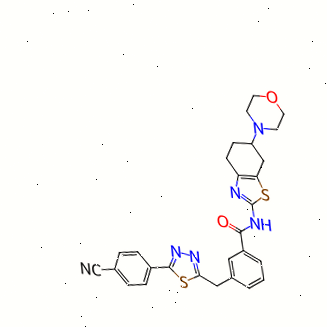 N#Cc1ccc(-c2nnc(Cc3cccc(C(=O)Nc4nc5c(s4)CC(N4CCOCC4)CC5)c3)s2)cc1